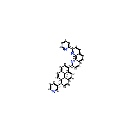 c1ccc(-c2ccc3ccc4ccc(-c5ccc6ccc7c(-c8cccnc8)ccc8ccc5c6c87)nc4c3n2)nc1